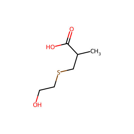 CC(CSCCO)C(=O)O